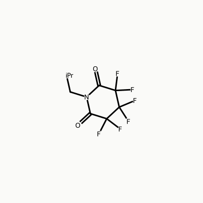 CC(C)CN1C(=O)C(F)(F)C(F)(F)C(F)(F)C1=O